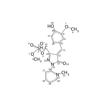 COS(=O)(=O)[O-].COc1cc(/C=C2/C(=O)N(c3cccc[n+]3C)N=C2C)ccc1O